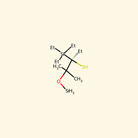 CC[C@](S)(C(C)(C)O[SiH3])[Si](CC)(CC)CC